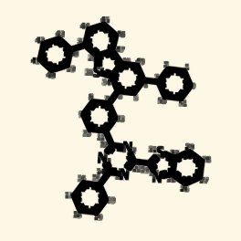 c1ccc(-c2cc(-c3cccc(-c4nc(-c5ccccc5)nc(-c5nc6ccccc6s5)n4)c3)c3sc4c(-c5ccccc5)cccc4c3c2)cc1